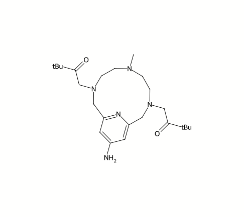 CN1CCN(CC(=O)C(C)(C)C)Cc2cc(N)cc(n2)CN(CC(=O)C(C)(C)C)CC1